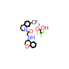 O=C(CN[C@H]1CCOc2ccccc21)N1CCCc2ccc(C(F)(F)F)cc21.O=C(O)C(F)(F)F